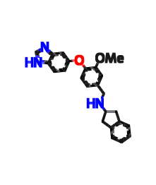 COc1cc(CNC2Cc3ccccc3C2)ccc1Oc1ccc2[nH]cnc2c1